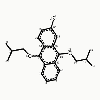 CC(C)COc1c2ccccc2c(OCC(C)C)c2cc(Cl)ccc12